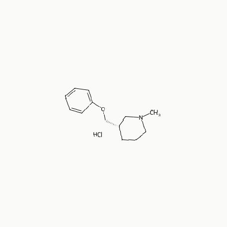 CN1CCC[C@H](COc2ccccc2)C1.Cl